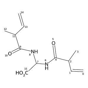 C=CC(C)C(=O)NC(NC(=O)C(C)C=C)C(=O)O